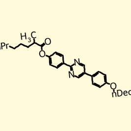 CCCCCCCCCCOc1ccc(-c2cnc(-c3ccc(OC(=O)C(C)CCCC(C)C)cc3)nc2)cc1